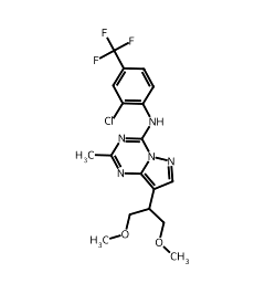 COCC(COC)c1cnn2c(Nc3ccc(C(F)(F)F)cc3Cl)nc(C)nc12